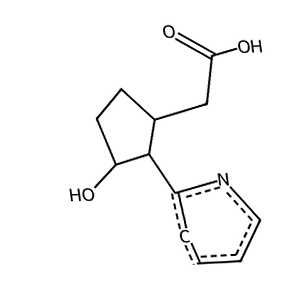 O=C(O)CC1CCC(O)C1c1ccccn1